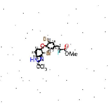 COC(=O)C(F)Cc1cc(Br)c(Oc2ccc3[nH]c(C(Cl)(Cl)Cl)nc3c2)c(Br)c1